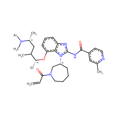 C=CC(=O)N1CCCC[C@@H](n2c(NC(=O)c3ccnc(C)c3)nc3cccc(O[C@H](CC)C(C)C[C@@H](C)N(C)C(C)=O)c32)C1